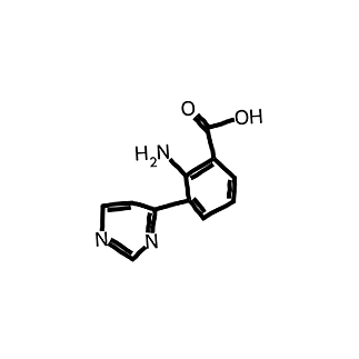 Nc1c(C(=O)O)cccc1-c1ccncn1